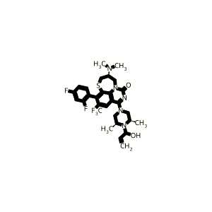 C=CC(O)N1[C@H](C)CN(c2nc(=O)n3c4c(c(-c5ccc(F)cc5F)c(C(F)(F)F)cc24)SC[C@H](N(C)C)C3)C[C@@H]1C